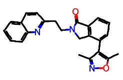 Cc1noc(C)c1-c1cccc2c1CN(CCc1ccc3ccccc3n1)C2=O